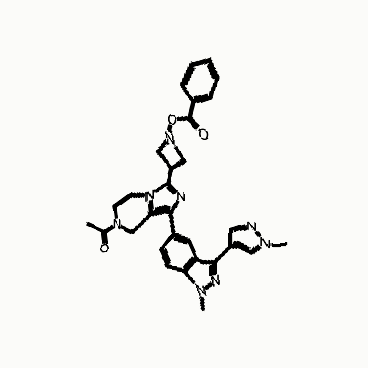 CC(=O)N1CCn2c(C3CN(OC(=O)c4ccccc4)C3)nc(-c3ccc4c(c3)c(-c3cnn(C)c3)nn4C)c2C1